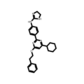 c1ccc(CCOc2cc(C3CCCCC3)nc(-c3ccc(NC4=NCCN4)cc3)n2)cc1